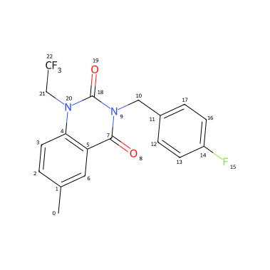 Cc1ccc2c(c1)c(=O)n(Cc1ccc(F)cc1)c(=O)n2CC(F)(F)F